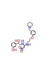 O=[N+]([O-])C=C(NCCCOc1cccc(CN2CCCCC2)c1)NCC(O)c1cccc(O)c1